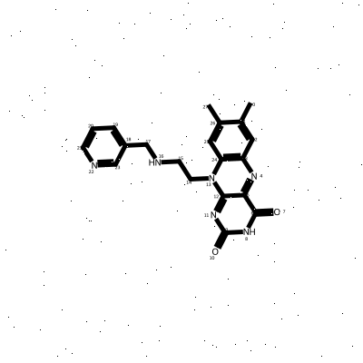 Cc1cc2nc3c(=O)[nH]c(=O)nc-3n(CCNCc3cccnc3)c2cc1C